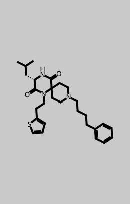 CC(C)C[C@@H]1NC(=O)C2(CCN(CCCCc3ccccc3)CC2)N(CCc2cccs2)C1=O